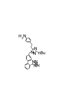 CCCCc1nc(CCc2ccc(N)cc2)n(Cc2ccc(-c3ccccc3-c3nnn[nH]3)cc2)n1